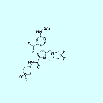 C[C@H]1CC(F)(F)CN1Cc1nc(C(=O)NC2CCS(=O)(=O)CC2)sc1-c1cnc(NC(C)(C)C)cc1C(F)F